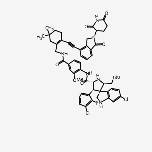 COc1cc(C(=O)NCC2=C(C#Cc3cccc4c3CN(C3CCC(=O)NC3=O)C4=O)CCC(C)(C)C2)ccc1NC(=O)[C@@H]1N[C@@H](CC(C)(C)C)[C@@]2(CNc3cc(Cl)ccc32)[C@H]1c1cccc(Cl)c1F